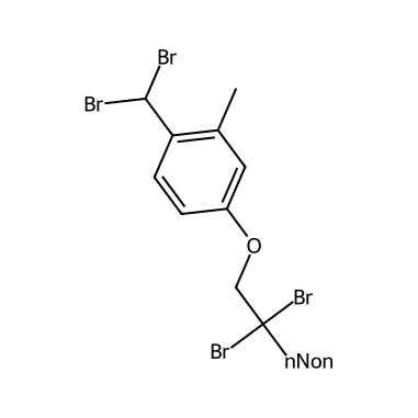 CCCCCCCCCC(Br)(Br)COc1ccc(C(Br)Br)c(C)c1